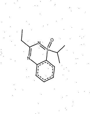 CCC1=Nc2ccccc2S(=O)(C(C)C)=N1